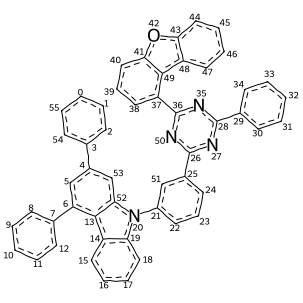 c1ccc(-c2cc(-c3ccccc3)c3c4ccccc4n(-c4cccc(-c5nc(-c6ccccc6)nc(-c6cccc7oc8ccccc8c67)n5)c4)c3c2)cc1